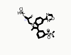 Cc1c(-c2cccc(S(=O)(=O)N(C)C)c2)c2cc(-c3ncon3)ccc2n1C/C(F)=C/CNCl